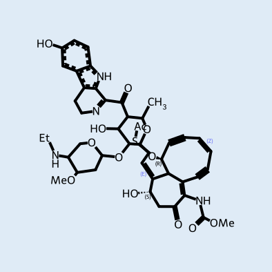 CCNC1COC(OC2C(O[C@H]3C#C/C=C\C#CC4=C(NC(=O)OC)C(=O)C[C@H](O)/C(=C/CSC(C)=O)C43)OC(C)C(C(=O)C3=NCCc4c3[nH]c3ccc(O)cc43)C2O)CC1OC